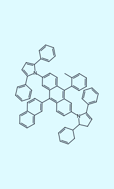 Cc1ccccc1-c1c2ccc(-n3c(-c4ccccc4)ccc3-c3ccccc3)cc2c(-c2ccc3ccccc3c2)c2ccc(N3C(c4ccccc4)=CCC3C3C=CC=CC3)cc12